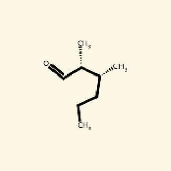 CCC[C@@H](C)[C@@H](C)C=O